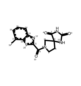 O=C1NC(=O)C2(CCN(C(=O)c3nc4cccc(I)c4s3)C2)N1